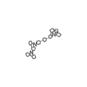 c1ccc2c(c1)Oc1cccc3c4cc(-c5ccc(-c6ccc(-n7c8ccccc8c8cc(-n9c%10ccccc%10c%10ccccc%109)ccc87)cc6)cc5)ccc4n-2c13